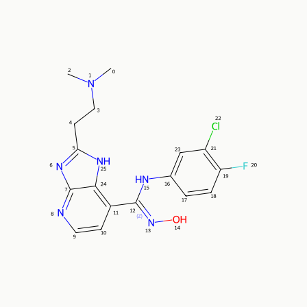 CN(C)CCc1nc2nccc(/C(=N/O)Nc3ccc(F)c(Cl)c3)c2[nH]1